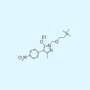 CCOc1c(-c2ccc([N+](=O)[O-])cc2)c(C)nn1COCC[Si](C)(C)C